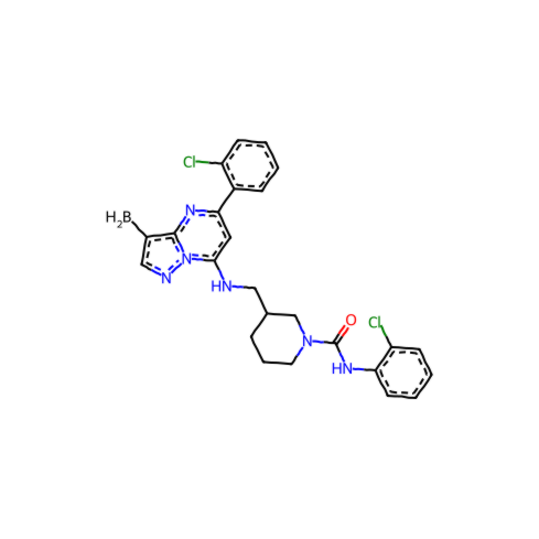 Bc1cnn2c(NCC3CCCN(C(=O)Nc4ccccc4Cl)C3)cc(-c3ccccc3Cl)nc12